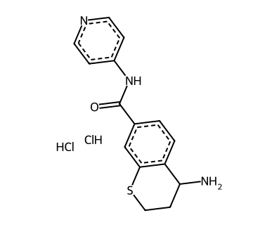 Cl.Cl.NC1CCSc2cc(C(=O)Nc3ccncc3)ccc21